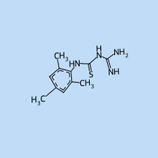 Cc1cc(C)c(NC(=S)NC(=N)N)c(C)c1